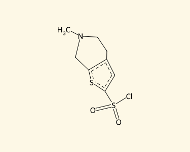 CN1CCc2cc(S(=O)(=O)Cl)sc2C1